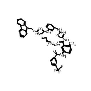 Cc1ccc(NC(=O)c2cccc(C(F)(F)F)c2)cc1C(=O)NC1=CNC(Nc2cccc(NC(=O)[C@@H](CCCCNO)NC(=O)OCC3c4ccccc4-c4ccccc43)c2)N=C1